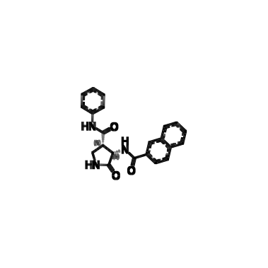 O=C(N[C@@H]1C(=O)NC[C@@H]1C(=O)Nc1ccccc1)c1ccc2ccccc2c1